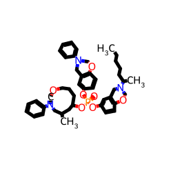 CCCCCC(C)N1COc2ccc(OP(=O)(Oc3ccc4c(c3)CN(c3ccccc3)CO4)OC3CCCOCN(c4ccccc4)CC(C)C3)cc2C1